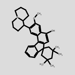 COc1cc2c(O)cc3c(c2cc1C1CCCN2CCCCC12)-c1ccccc1C31CC(C)(C)CC(C)(C)C1